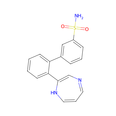 NS(=O)(=O)c1cccc(-c2ccccc2C2=CN=CC=CN2)c1